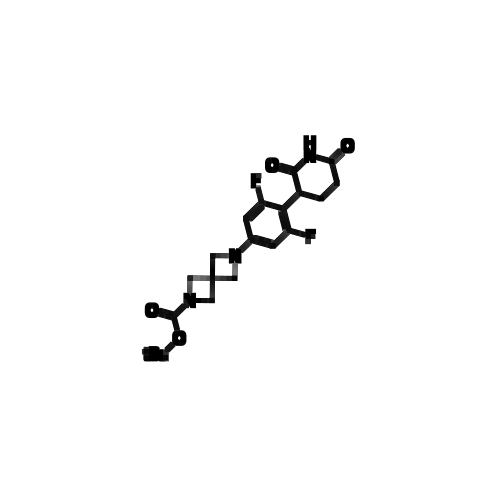 CC(C)(C)OC(=O)N1CC2(C1)CN(c1cc(F)c(C3CCC(=O)NC3=O)c(F)c1)C2